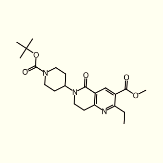 CCc1nc2c(cc1C(=O)OC)C(=O)N(C1CCN(C(=O)OC(C)(C)C)CC1)CC2